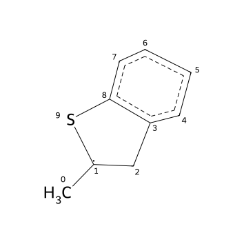 C[C]1Cc2ccccc2S1